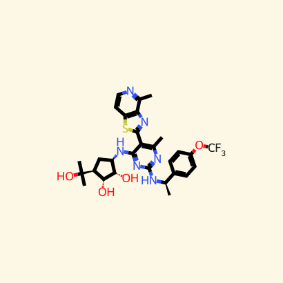 Cc1nc(N[C@H](C)c2ccc(OC(F)(F)F)cc2)nc(N[C@@H]2C[C@H](C(C)(C)O)[C@@H](O)[C@H]2O)c1-c1nc2c(C)nccc2s1